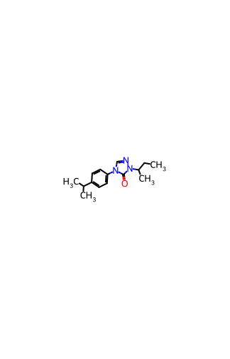 CCC(C)n1ncn(-c2ccc(C(C)C)cc2)c1=O